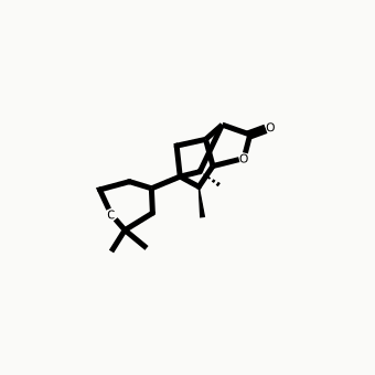 C[C@@H]1C2OC(=O)C3C2CC1(C1CCCC(C)(C)C1)[C@H]3C